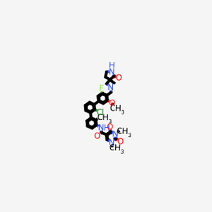 COc1cc(-c2cccc(-c3cccc(NC(=O)c4cn(C)c(=O)n(C)c4=O)c3C)c2Cl)cc(F)c1CN1CC2(CCNC2=O)C1